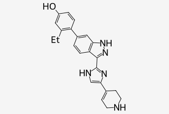 CCc1cc(O)ccc1-c1ccc2c(-c3nc(C4=CCNCC4)c[nH]3)n[nH]c2c1